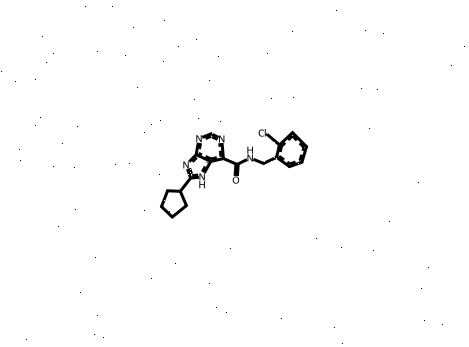 O=C(NCc1ccccc1Cl)c1ncnc2nc(C3CCCC3)[nH]c12